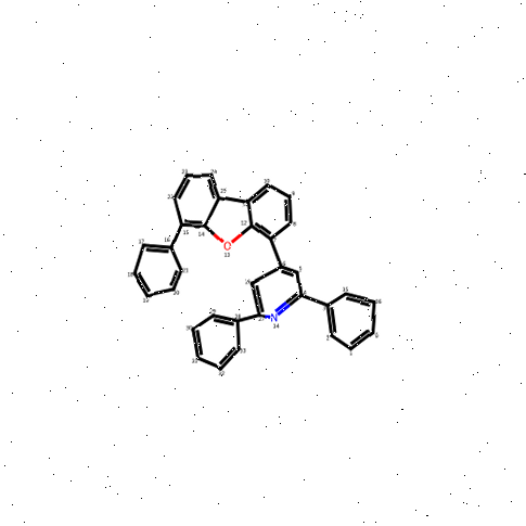 c1ccc(-c2cc(-c3cccc4c3oc3c(-c5ccccc5)cccc34)cc(-c3ccccc3)n2)cc1